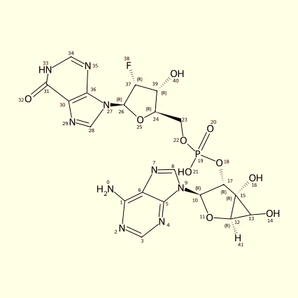 Nc1ncnc2c1ncn2[C@@H]1O[C@@H]2C(O)[C@]2(O)[C@H]1OP(=O)(O)OC[C@H]1O[C@@H](n2cnc3c(=O)[nH]cnc32)[C@H](F)[C@@H]1O